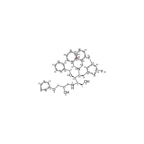 OC[C@@H](NCC(O)COc1ccccc1)[C@@H](OCc1ccccc1)[C@H](Cc1cc(F)cc(F)c1)N(Cc1ccccc1)Cc1ccccc1